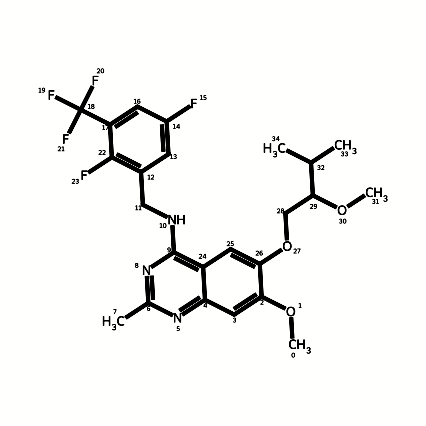 COc1cc2nc(C)nc(NCc3cc(F)cc(C(F)(F)F)c3F)c2cc1OCC(OC)C(C)C